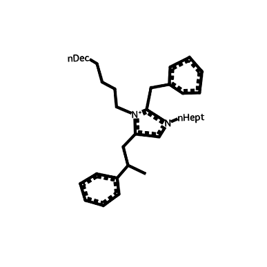 CCCCCCCCCCCCCC[n+]1c(CC(C)c2ccccc2)cn(CCCCCCC)c1Cc1ccccc1